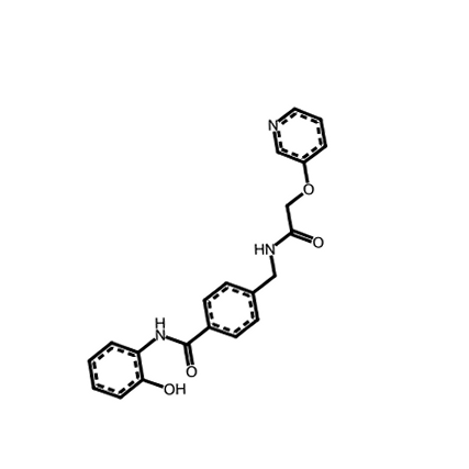 O=C(COc1cccnc1)NCc1ccc(C(=O)Nc2ccccc2O)cc1